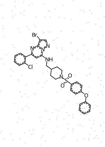 O=S(=O)(c1ccc(Oc2ccccc2)cc1)N1CCC(CNc2cc(-c3ccccc3Cl)nc3c(Br)cnn23)CC1